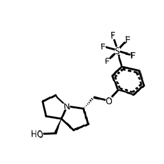 OC[C@@]12CCCN1[C@H](COc1cccc(S(F)(F)(F)(F)F)c1)CC2